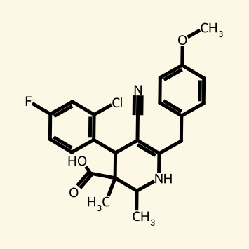 COc1ccc(CC2=C(C#N)C(c3ccc(F)cc3Cl)C(C)(C(=O)O)C(C)N2)cc1